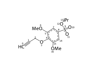 C#CCOc1c(OC)cc(S(=O)(=O)OC(C)C)cc1OC